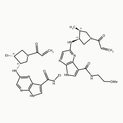 C=CC(=O)N1C[C@@H](CC)[C@@H](Nc2cnc3[nH]cc(C(=O)NCC)c3n2)C1.C=CC(=O)N1C[C@H](C)[C@H](Nc2cnc3[nH]cc(C(=O)NCCOC)c3n2)C1